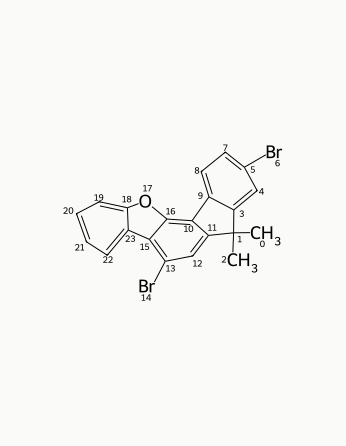 CC1(C)c2cc(Br)ccc2-c2c1cc(Br)c1c2oc2ccccc21